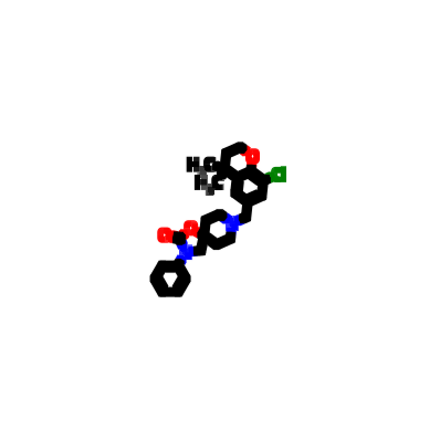 CC1(C)CCOc2c(Cl)cc(CN3CCC4(CC3)CN(c3ccccc3)C(=O)O4)cc21